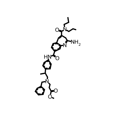 CCCN(CCC)C(=O)C1=Cc2ccc(C(=O)Nc3ccc(C(C)CN(CCC(=O)OC)Cc4ccccc4)cc3)cc2N=C(N)C1